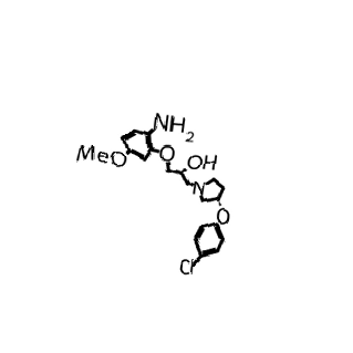 COc1ccc(N)c(OC[C@@H](O)CN2CC[C@H](Oc3ccc(Cl)cc3)C2)c1